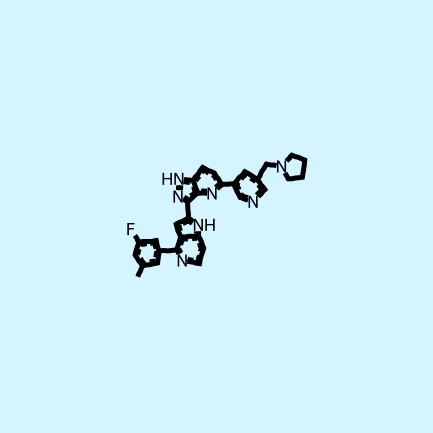 Cc1cc(F)cc(-c2nccc3[nH]c(-c4n[nH]c5ccc(-c6cncc(CN7CCCC7)c6)nc45)cc23)c1